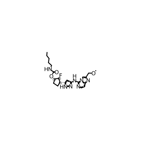 CCCCCNC(=O)O[C@H]1CC[C@@H](c2cc(Nc3nccc4nc(COC)cn34)n[nH]2)[C@@H]1F